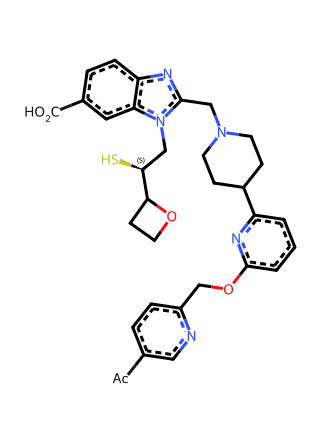 CC(=O)c1ccc(COc2cccc(C3CCN(Cc4nc5ccc(C(=O)O)cc5n4C[C@H](S)C4CCO4)CC3)n2)nc1